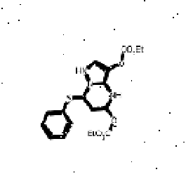 CCOC(=O)OC1=CNN2C(Sc3ccccc3)CC(OC(=O)OCC)NC12